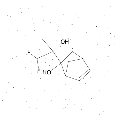 CC(O)(C(F)F)C1(O)CC2C=CC1C2